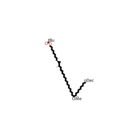 CCCCCCCCCCCCCCCCCC[C@H](C)[C@H](CCCCCCCCCCCCC/C=C/C[C@H](C)[C@H]1C[C@@H]1CCCCCCCCCOC(=O)C(C)(C)C)OC